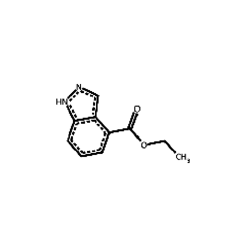 CCOC(=O)c1cccc2[nH]ncc12